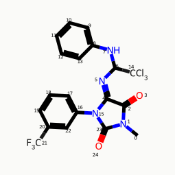 CN1C(=O)/C(=N\C(Nc2ccccc2)C(Cl)(Cl)Cl)N(c2cccc(C(F)(F)F)c2)C1=O